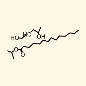 CC(O)CO.CCCCCCCCCCCCCC(=O)OC(C)C.CCO